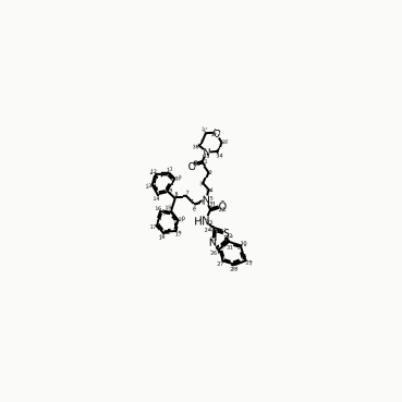 O=C(CCCN(CCC(c1ccccc1)c1ccccc1)C(=O)Nc1nc2ccccc2s1)N1CCOCC1